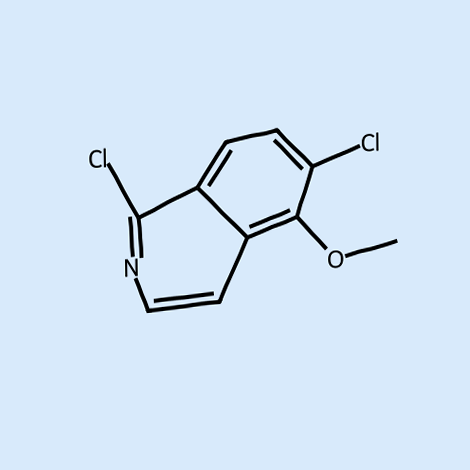 COc1c(Cl)ccc2c(Cl)nccc12